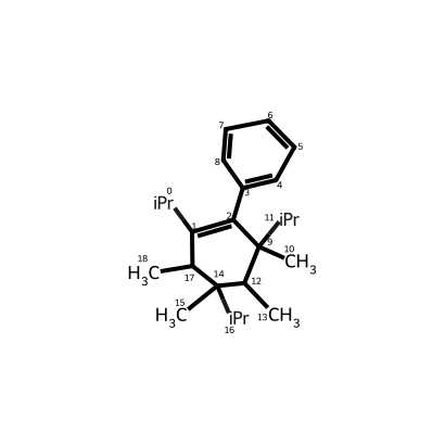 CC(C)C1=C(c2ccccc2)C(C)(C(C)C)C(C)C(C)(C(C)C)C1C